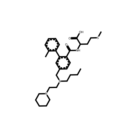 CCCCN(CCN1CCCCC1)Cc1ccc(C(=O)NC(CCSC)C(=O)O)c(-c2ccccc2C)c1